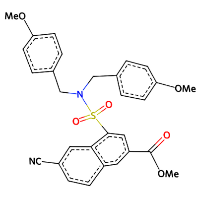 COC(=O)c1cc(S(=O)(=O)N(Cc2ccc(OC)cc2)Cc2ccc(OC)cc2)c2cc(C#N)ccc2c1